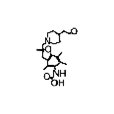 Cc1c(C)c2c(c(C)c1NC(=O)O)CC(C)(CN1CCC(CC=O)CC1)O2